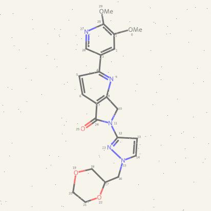 COc1cc(-c2ccc3c(n2)CN(c2ccn(CC4COCCO4)n2)C3=O)cnc1OC